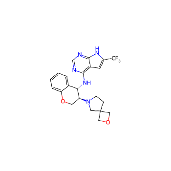 FC(F)(F)c1cc2c(N[C@H]3c4ccccc4OC[C@@H]3N3CCC4(COC4)C3)ncnc2[nH]1